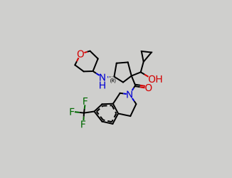 O=C(N1CCc2ccc(C(F)(F)F)cc2C1)C1(C(O)C2CC2)CC[C@@H](NC2CCOCC2)C1